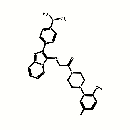 Cc1ccc(Cl)cc1N1CCN(C(=O)CNc2c(-c3ccc(N(C)C)cc3)nc3ccccn23)CC1